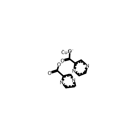 O=C([O-])c1cnccn1.O=C([O-])c1cnccn1.[Cu+2]